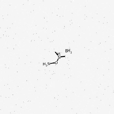 B.C[SiH](C)O[SiH3]